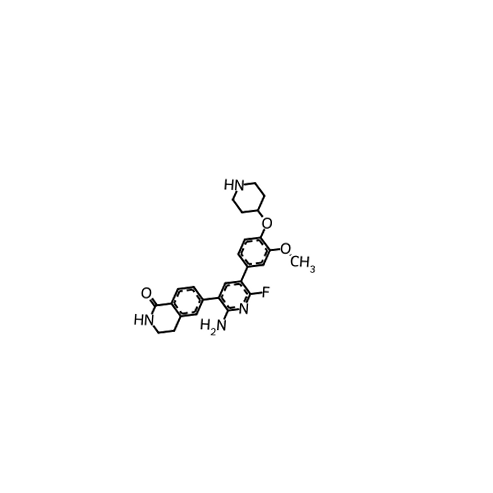 COc1cc(-c2cc(-c3ccc4c(c3)CCNC4=O)c(N)nc2F)ccc1OC1CCNCC1